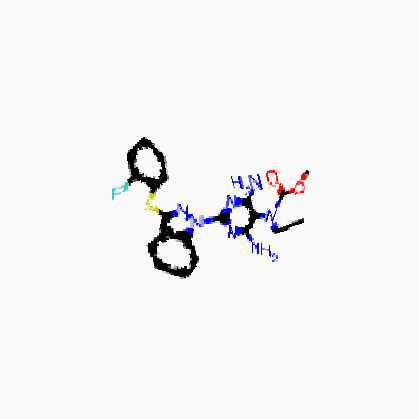 CCN(C(=O)OC)c1c(N)nc(-n2nc(Sc3ccccc3F)c3ccccc32)nc1N